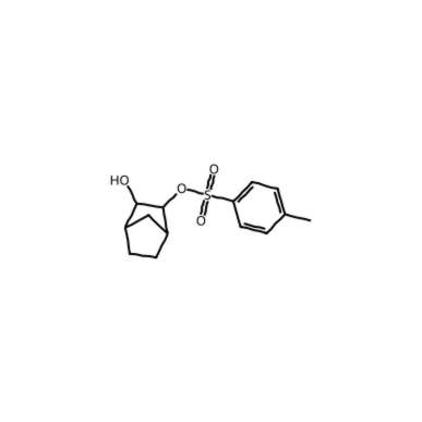 Cc1ccc(S(=O)(=O)OC2C3CCC(C3)C2O)cc1